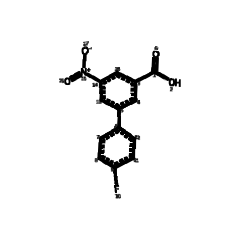 O=C(O)c1cc(-c2ccc(F)cc2)cc([N+](=O)[O-])c1